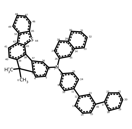 CC1(C)c2ccc(N(c3ccc(-c4cccc(-c5ccccc5)c4)cc3)c3ccc4ccccc4c3)cc2-c2c1ccc1c2sc2ccccc21